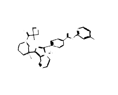 CC1(C(=O)N2CCC[C@@](C)(C3=C4C=NC=C[N+]4(N)C(c4ccc(C(=O)Nc5cc(C(F)(F)F)ccn5)cc4)=N3)C2)COC1